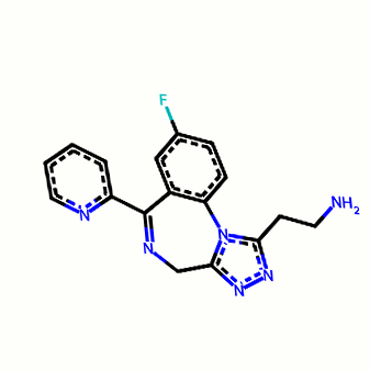 NCCc1nnc2n1-c1ccc(F)cc1C(c1ccccn1)=NC2